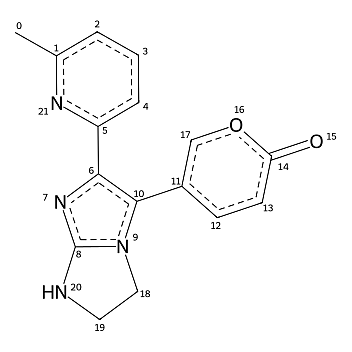 Cc1cccc(-c2nc3n(c2-c2ccc(=O)oc2)CCN3)n1